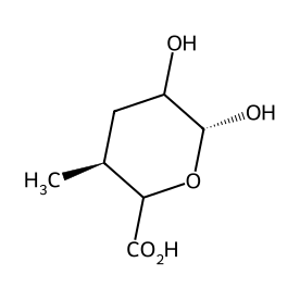 C[C@H]1CC(O)[C@H](O)OC1C(=O)O